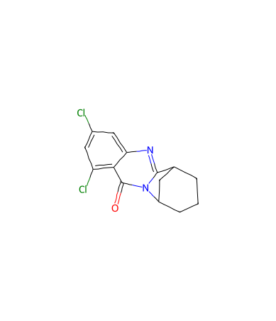 O=c1c2c(Cl)cc(Cl)cc2nc2n1C1CCCC2C1